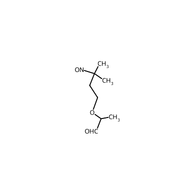 CC(C=O)OCCC(C)(C)N=O